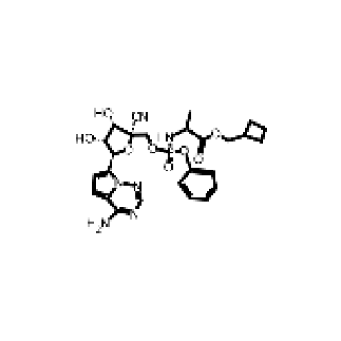 CC(NP(=O)(OC[C@@]1(C#N)O[C@@H](c2ccc3c(N)ncnn23)[C@H](O)[C@@H]1O)Oc1ccccc1)C(=O)OCC1CCC1